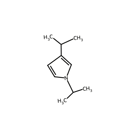 CC(C)c1ccn(C(C)C)c1